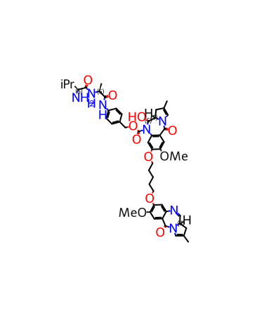 COc1cc2c(cc1OCCCCCOc1cc3c(cc1OC)C(=O)N1C=C(C)C[C@H]1[C@H](O)N3C(=O)OCc1ccc(NC(=O)[C@H](C)NC(=O)[C@@H](N)C(C)C)cc1)N=C[C@@H]1CC(C)=CN1C2=O